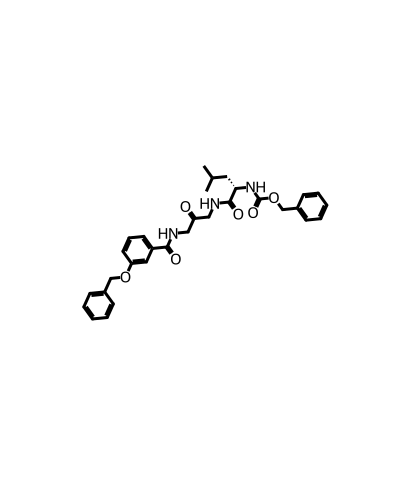 CC(C)C[C@H](NC(=O)OCc1ccccc1)C(=O)NCC(=O)CNC(=O)c1cccc(OCc2ccccc2)c1